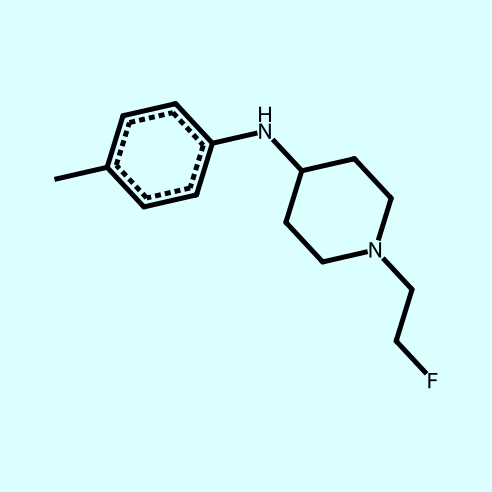 Cc1ccc(NC2CCN(CCF)CC2)cc1